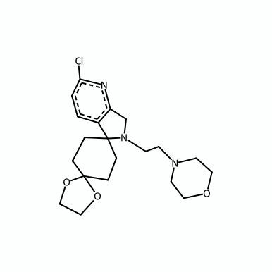 Clc1ccc2c(n1)CN(CCN1CCOCC1)C21CCC2(CC1)OCCO2